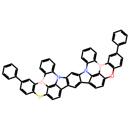 c1ccc(-c2ccc3c(c2)B2c4ccccc4-n4c5cc6c(cc5c5ccc(c2c54)O3)c2ccc3c4c2n6-c2ccccc2B4c2cc(-c4ccccc4)ccc2S3)cc1